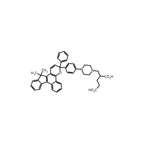 CC1(C)c2ccccc2-c2c1c1c(c3ccccc23)OC(c2ccccc2)(c2ccc(N3CCN(CC(CCC(=O)O)C(=O)O)CC3)cc2)C=C1